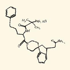 CC(C)(N)C(=O)NC(CCCc1ccccc1)C(=O)N1CCC2(CC1)CC(CC(N)=O)c1ccccc12.Cl